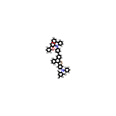 Cc1cc(C)c(N(c2ccccc2)c2ccc3c(c2)sc2c4ccc(-c5ccc(N(c6ccccc6-c6ccccc6)c6cccc7c6oc6ccccc67)cc5)cc4c4ccccc4c32)c(C)c1